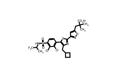 CC(NS(=O)(=O)c1ccc(-c2sc(-c3cc(CC(C)(C)C(=O)O)on3)nc2CC2CCC2)c(Cl)c1Cl)C(F)(F)F